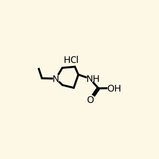 CCN1CCC(NC(=O)O)CC1.Cl